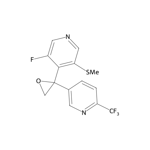 CSc1cncc(F)c1C1(c2ccc(C(F)(F)F)nc2)CO1